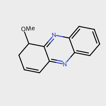 COC1CC=Cc2nc3ccccc3nc21